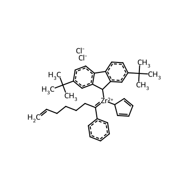 C=CCCCC[C](c1ccccc1)=[Zr+2]([CH]1C=CC=C1)[CH]1c2cc(C(C)(C)C)ccc2-c2ccc(C(C)(C)C)cc21.[Cl-].[Cl-]